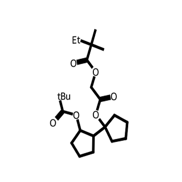 CCC(C)(C)C(=O)OCC(=O)OC1(C2CCCC2OC(=O)C(C)(C)C)CCCC1